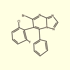 Fc1cccc(Cl)c1-c1c(Br)nc2ncnn2c1-c1ccccc1